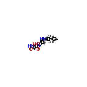 O=C1CC(C(=O)N(O)Cc2ccc(Nc3ccc(C4CCCCC4)cc3)cc2)CN1